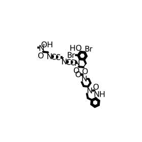 CN(O)C(=O)CN=C=C=CN=C=C=NC(=O)[C@@H](Cc1cc(Br)c(O)c(Br)c1)OC(=O)N1CCC(N2CCc3ccccc3NC2=O)CC1